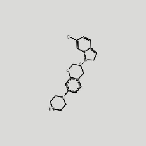 ClC1=CN2C(=CCN2[C@H]2COc3cc(N4CCNCC4)ccc3C2)C=C1